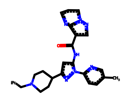 Cc1ccc(-n2nc(C3CCN(CC(C)C)CC3)cc2NC(=O)c2cnn3cccnc23)nc1